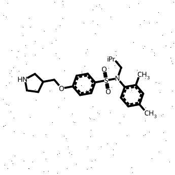 Cc1ccc(N(CC(C)C)S(=O)(=O)c2ccc(OCC3CCNC3)cc2)c(C)c1